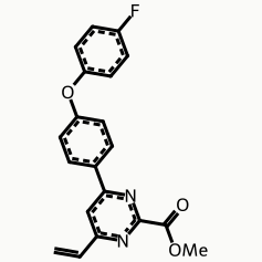 C=Cc1cc(-c2ccc(Oc3ccc(F)cc3)cc2)nc(C(=O)OC)n1